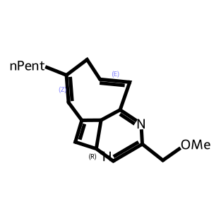 CCCCC/C1=C/C2=C[C@@H]3C=C(COC)N=C(/C=C/C1)C23